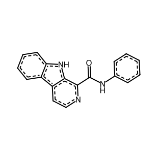 O=C(Nc1ccccc1)c1nccc2c1[nH]c1ccccc12